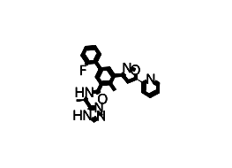 Cc1c(C(=O)N[C@H](C)c2nnc[nH]2)cc(-c2ccccc2F)cc1C1=NO[C@H](c2ccccn2)C1